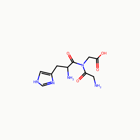 NCC(=O)N(CC(=O)O)C(=O)C(N)Cc1c[nH]cn1